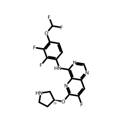 Fc1cc2ncnc(Nc3ccc(OC(F)F)c(F)c3F)c2nc1O[C@H]1CCNC1